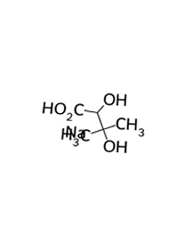 CC(C)(O)C(O)C(=O)O.[Na]